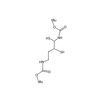 CC(C)(C)OC(=O)NCCC(S)C(S)NC(=O)OC(C)(C)C